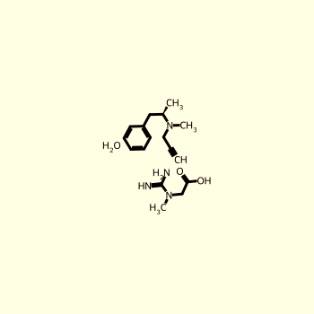 C#CCN(C)[C@H](C)Cc1ccccc1.CN(CC(=O)O)C(=N)N.O